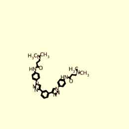 CN(C)CCC(=O)Nc1ccc(-n2cc(-c3cccc(-c4cn(-c5ccc(NC(=O)CCN(C)C)cc5)nn4)c3)nn2)cc1